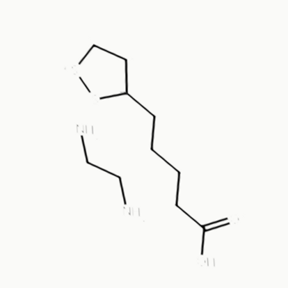 NCCN.O=C(O)CCCCC1CCSS1